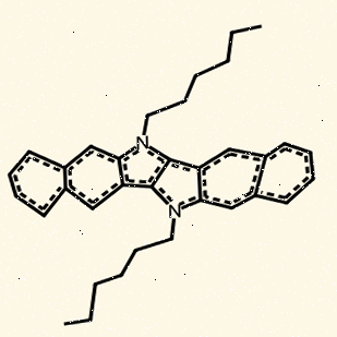 CCCCCCn1c2cc3ccccc3cc2c2c1c1cc3ccccc3cc1n2CCCCCC